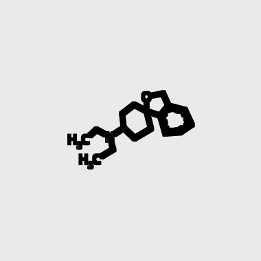 CCN(CC)C1CCC2(CC1)OCc1ccccc12